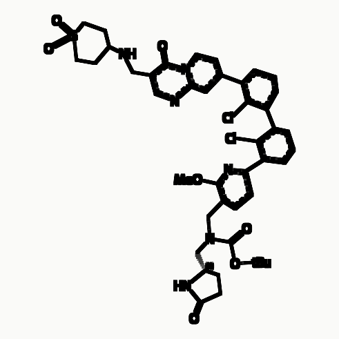 COc1nc(-c2cccc(-c3cccc(-c4ccn5c(=O)c(CNC6CCS(=O)(=O)CC6)cnc5c4)c3Cl)c2Cl)ccc1CN(C[C@@H]1CCC(=O)N1)C(=O)OC(C)(C)C